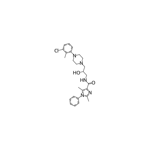 Cc1c(Cl)cccc1N1CCN(CC(O)CNC(=O)c2nc(C)n(-c3ccccc3)c2C)CC1